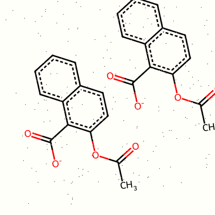 CC(=O)Oc1ccc2ccccc2c1C(=O)[O-].CC(=O)Oc1ccc2ccccc2c1C(=O)[O-].[Zn+2]